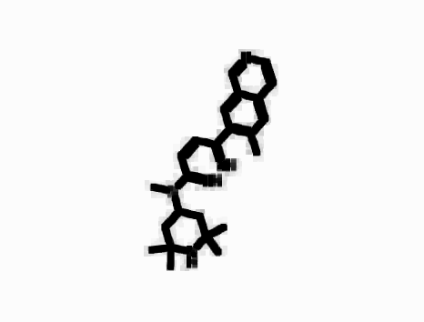 Cc1cc2ccncc2cc1C(=N)/C=C\C(=N)N(C)C1CC(C)(C)NC(C)(C)C1